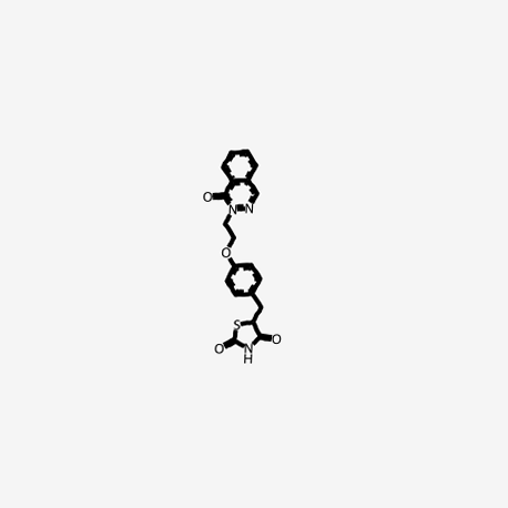 O=C1NC(=O)C(Cc2ccc(OCCn3ncc4ccccc4c3=O)cc2)S1